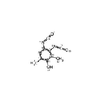 Cc1cc(N=C=O)c(N=C=O)c(C)c1O